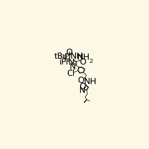 C=C(C)CCc1cc(NC(=O)Cc2ccc(-c3nn(C(C)C)c(NC(=O)OC(C)(C)C)c3C(N)=O)c(Cl)c2)on1